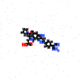 Cc1c(C(C)(NCC(=O)O)C(=O)N2CCCC2)ccc2[nH]c(CNc3ccc(C(=N)N)cc3)nc12